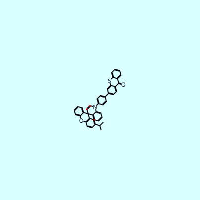 CC(C)c1ccc2c(c1)C1(c3ccccc3O2)c2ccccc2N(c2ccc(-c3ccc4c(=O)c5ccccc5sc4c3)cc2)c2ccccc21